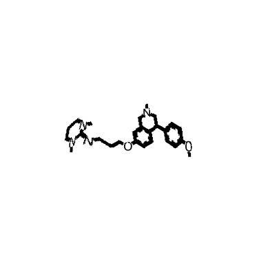 COc1ccc(C2CN(C)Cc3cc(OCCCN=C4N(C)CCCN4C)ccc32)cc1